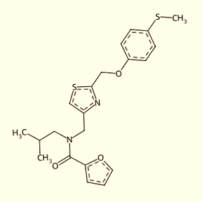 CSc1ccc(OCc2nc(CN(CC(C)C)C(=O)c3ccco3)cs2)cc1